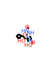 O=CNNC(=O)N1CCN(C(=O)O)C[C@H]1C(O)Cc1ccccc1